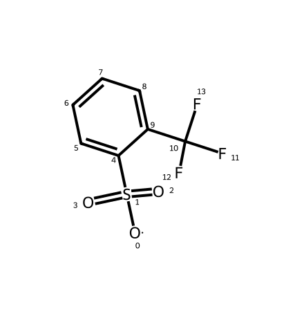 [O]S(=O)(=O)c1ccccc1C(F)(F)F